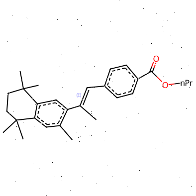 CCCOC(=O)c1ccc(/C=C(\C)c2cc3c(cc2C)C(C)(C)CCC3(C)C)cc1